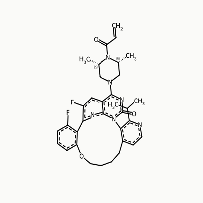 C=CC(=O)N1[C@H](C)CN(c2nc(=O)n3c4nc(c(F)cc24)-c2c(F)cccc2OCCCCc2ccnc(C(C)C)c2-3)C[C@@H]1C